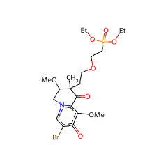 CCOP(=O)(CCOCCC1(C)C(=O)c2c(OC)c(=O)c(Br)cn2CC1OC)OCC